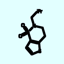 CC(C)CN1CCc2sccc2S1(=O)=O